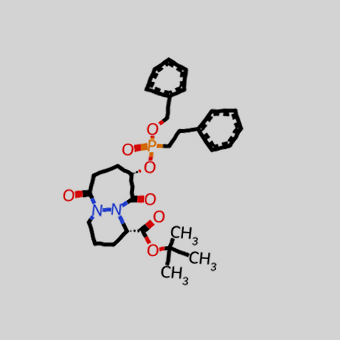 CC(C)(C)OC(=O)[C@@H]1CCCN2C(=O)CC[C@H](OP(=O)(CCc3ccccc3)OCc3ccccc3)C(=O)N12